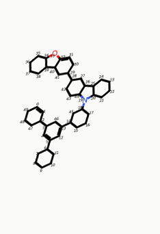 C1=CC(C2C=C(C3CCCCC3)C=C(C3CCCC(N4C5CCCCC5C5CC(C6CC=C7OC8CCCCC8C7C6)CCC54)C3)C2)CCC1